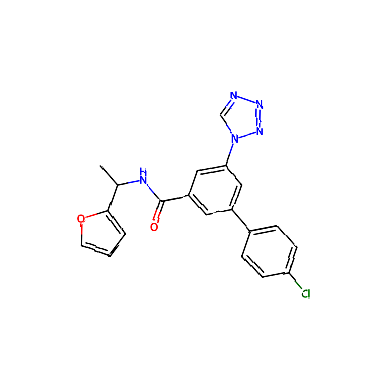 CC(NC(=O)c1cc(-c2ccc(Cl)cc2)cc(-n2cnnn2)c1)c1ccco1